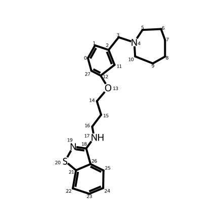 c1cc(CN2CCCCCC2)cc(OCCCNc2nsc3ccccc23)c1